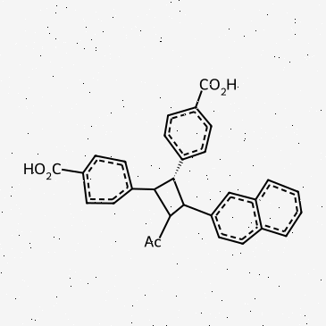 CC(=O)C1C(c2ccc(C(=O)O)cc2)[C@H](c2ccc(C(=O)O)cc2)C1c1ccc2ccccc2c1